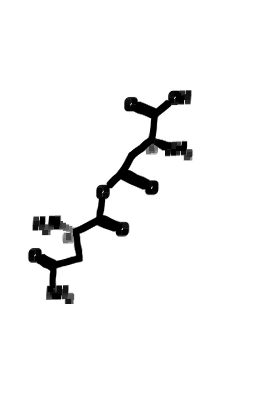 NC(=O)C[C@H](N)C(=O)OC(=O)C[C@H](N)C(=O)O